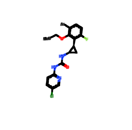 COCOc1c(C(C)=O)ccc(F)c1[C@H]1C[C@H]1NC(=O)Nc1ccc(Cl)cn1